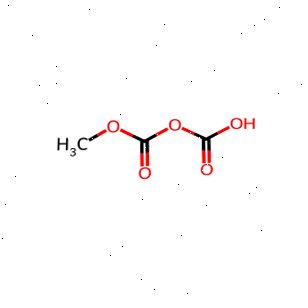 COC(=O)OC(=O)O